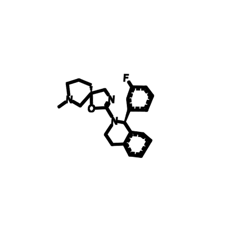 CN1CCC[C@@]2(CN=C(N3CCc4ccccc4[C@@H]3c3cccc(F)c3)O2)C1